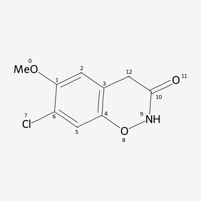 COc1cc2c(cc1Cl)ONC(=O)C2